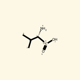 CC(C)[C@H](N)[13C](=O)O